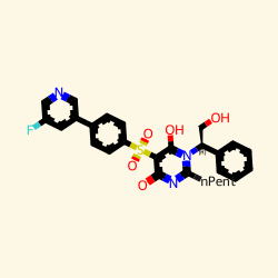 CCCCCc1nc(=O)c(S(=O)(=O)c2ccc(-c3cncc(F)c3)cc2)c(O)n1[C@@H](CO)c1ccccc1